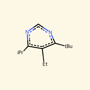 CCc1c(C(C)C)ncnc1C(C)(C)C